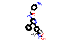 CC(C)(NC(=O)O)c1ccc(-c2ncc(NC(=O)C[C@H]3CC[C@H](N)CC3)cc2-c2ccccc2)cc1